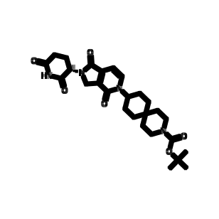 CC(C)(C)OC(=O)N1CCC2(CCC(n3ccc4c(c3=O)CN([C@H]3CCC(=O)NC3=O)C4=O)CC2)CC1